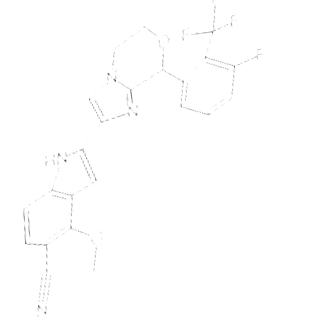 COc1c(C#N)ccc2[nH]c(-c3cn4c(n3)C(c3cccc(F)c3C(F)(F)F)OCC4)cc12